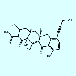 NC(=O)C1C(=O)[C@@]2(O)C(O)=C3C(=O)c4c(O)ccc(C#CCO)c4C[C@H]3C[C@H]2CC1O